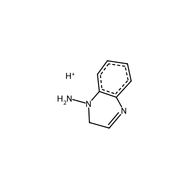 NN1CC=Nc2ccccc21.[H+]